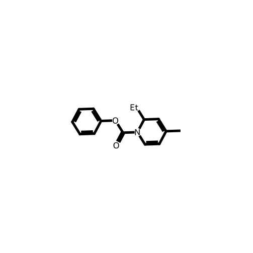 CCC1C=C(C)C=CN1C(=O)Oc1ccccc1